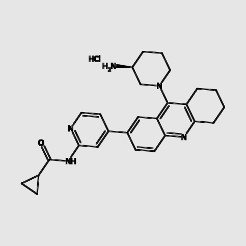 Cl.N[C@H]1CCCN(c2c3c(nc4ccc(-c5ccnc(NC(=O)C6CC6)c5)cc24)CCCC3)C1